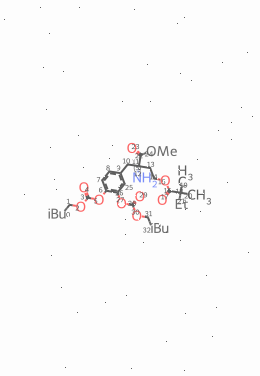 CCC(C)COC(=O)Oc1ccc(C[C@](N)(CCOC(=O)C(C)(C)CC)C(=O)OC)cc1OC(=O)OCC(C)CC